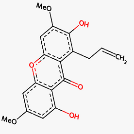 C=CCc1c(O)c(OC)cc2oc3cc(OC)cc(O)c3c(=O)c12